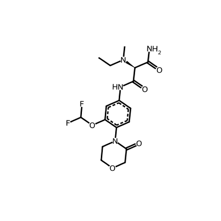 CCN(C)[C@@H](C(N)=O)C(=O)Nc1ccc(N2CCOCC2=O)c(OC(F)F)c1